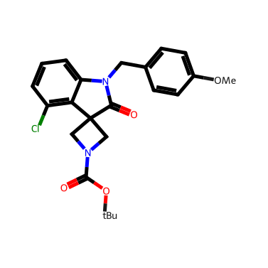 COc1ccc(CN2C(=O)C3(CN(C(=O)OC(C)(C)C)C3)c3c(Cl)cccc32)cc1